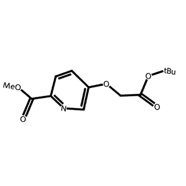 COC(=O)c1ccc(OCC(=O)OC(C)(C)C)cn1